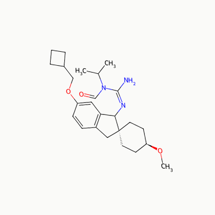 CO[C@H]1CC[C@]2(CC1)Cc1ccc(OCC3CCC3)cc1C2/N=C(/N)N(C=O)C(C)C